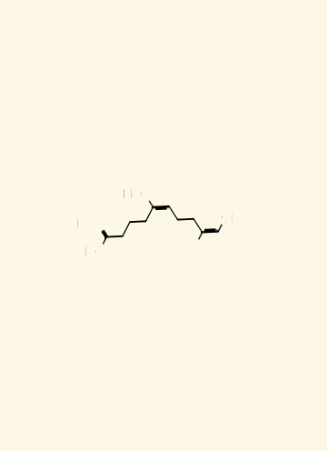 [CH2]C=C(C)CCC=C(C)CCCC(=C)C